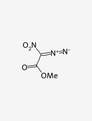 COC(=O)C(=[N+]=[N-])[N+](=O)[O-]